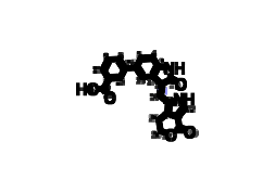 O=C1Nc2ccc(-c3cccc(C(=O)O)c3)cc2/C1=C/c1[nH]cc2c1CCOC2=O